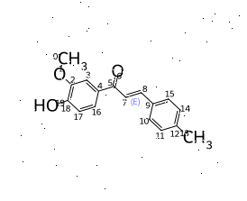 COc1cc(C(=O)/C=C/c2ccc(C)cc2)ccc1O